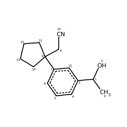 CC(O)c1cccc(C2(CC#N)CCCC2)c1